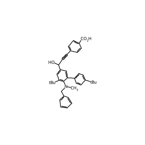 CN(Cc1ccccc1)c1c(-c2ccc(C(C)(C)C)cc2)cc(C(O)C#Cc2ccc(C(=O)O)cc2)cc1C(C)(C)C